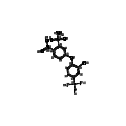 NS(=O)(=O)c1cc(Oc2ccc(C(F)(F)F)cc2Cl)ccc1[N+](=O)[O-]